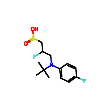 CC(C)(C)N(CC(F)CS(=O)O)c1ccc(F)cc1